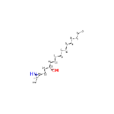 CCCCCCCCCCCCC(O)/C=C/C1NC1C